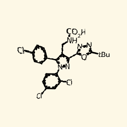 CC(C)(C)c1nnc(-c2nn(-c3ccc(Cl)cc3Cl)c(-c3ccc(Cl)cc3)c2CNC(=O)O)o1